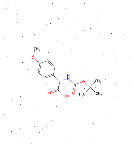 COc1ccc([C@H](NC(=O)OC(C)(C)C)C(=O)O)cc1